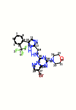 FC(F)(F)c1ccccc1-c1cnc(CNc2nc(N3CCOCC3)nc3c(Br)cnn23)[nH]1